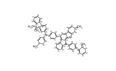 CC1C=CC(N(c2ccc(-c3cc4c5c(oc4c4c3c3ccccc3n4-c3ccc(C4=CC=CCC4C)cc3)CC(C)C=C5)cc2)c2ccc3c(c2)C(C)(C)c2ccccc2-3)=CC1